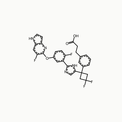 O=C(O)CCc1cccc(C2(c3cnc(-c4cc(Oc5nc6cc[nH]c6cc5F)ccc4F)[nH]3)CC(F)(F)C2)c1